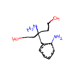 Nc1ccccc1C(N)(CCO)CCO